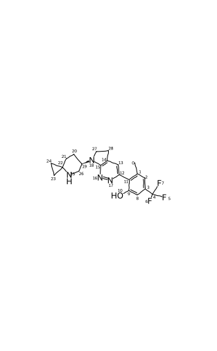 Cc1cc(C(F)(F)F)cc(O)c1-c1cc2c(nn1)N([C@@H]1CCC3(CC3)NC1)CC2